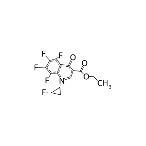 CCOC(=O)c1cn([C@@H]2C[C@@H]2F)c2c(F)c(F)c(F)c(F)c2c1=O